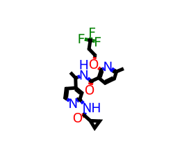 Cc1ccc(C(=O)NC(C)c2ccnc(NC(=O)C3CC3)c2)c(OCCC(F)(F)F)n1